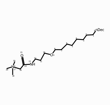 CCCCCCCCCCCCCCCCCCOCCCNC(=O)C[N+](C)(C)C